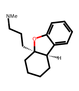 CNCCC[C@@]12CCCC[C@@H]1c1ccccc1O2